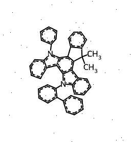 CC1(C)c2ccccc2-c2c1c1c3ccccc3n(-c3ccccc3-c3ccccc3)c1c1c3ccccc3n(-c3ccccc3)c21